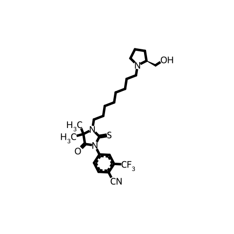 CC1(C)C(=O)N(c2ccc(C#N)c(C(F)(F)F)c2)C(=S)N1CCCCCCCCN1CCC[C@H]1CO